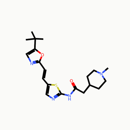 CN1CCC(CC(=O)Nc2ncc(C=Cc3ncc(C(C)(C)C)o3)s2)CC1